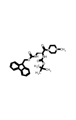 CN1CCN(C(=O)[C@H](CNC(=O)OCC2c3ccccc3-c3ccccc32)NC(=O)OC(C)(C)C)CC1